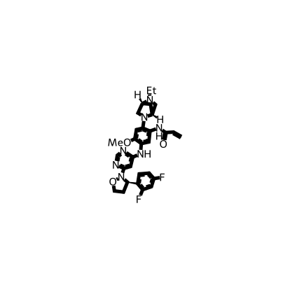 C=CC(=O)Nc1cc(Nc2cc(N3OCC[C@@H]3c3ccc(F)cc3F)ncn2)c(OC)cc1N1C[C@H]2C[C@@H]1CN2CC